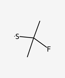 CC(C)(F)[S]